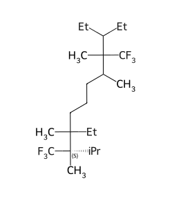 CCC(CC)C(C)(C(C)CCCC(C)(CC)[C@](C)(C(C)C)C(F)(F)F)C(F)(F)F